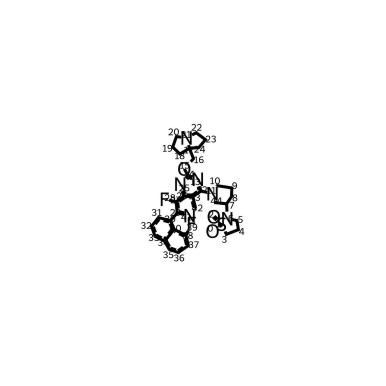 O=S1(=O)CCCN1C1CCCN(c2nc(OCC34CCCN3CCC4)nc3c(F)c(-c4cccc5cccc(F)c45)ncc23)C1